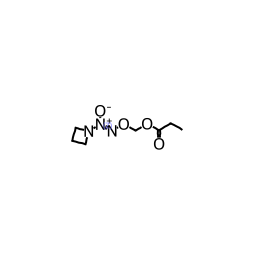 CCC(=O)OCO/N=[N+](\[O-])N1CCC1